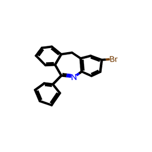 Brc1ccc2c(c1)Cc1ccccc1C(c1ccccc1)=N2